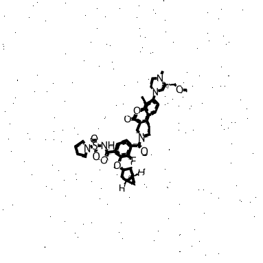 COC[C@H]1CN(c2ccc3c4c(c(=O)oc3c2C)CN(C(=O)c2ccc(C(=O)NS(=O)(=O)N3CCCC3)c(OC3C[C@@H]5C[C@@H]5C3)c2F)CC4)CCN1C